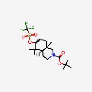 CC(C)(C)OC(=O)N1CC[C@@H]2C(C)(C)C(OS(=O)(=O)C(F)(F)F)=CC[C@]2(C)C1